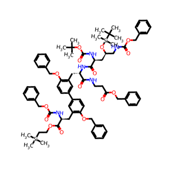 CC(C)(C)OC(=O)N[C@@H](C[C@H](CNC(=O)OCc1ccccc1)O[Si](C)(C)C(C)(C)C)C(=O)N[C@@H](Cc1cc(-c2ccc(OCc3ccccc3)c(C[C@H](NC(=O)OCc3ccccc3)C(=O)OCC[Si](C)(C)C)c2)ccc1OCc1ccccc1)C(=O)NCCC(=O)OCc1ccccc1